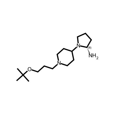 CC(C)(C)OCCCN1CCC(N2CCC[C@@H]2N)CC1